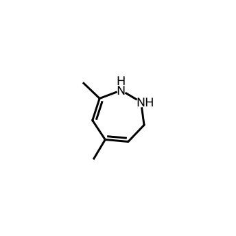 CC1=CCNNC(C)=C1